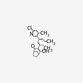 C=C/C=C(\C=C(/CC)C1=C(O)C2CCC(C2)C1=O)c1cnc(Cl)cc1C